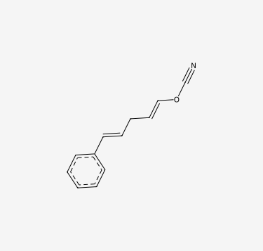 N#COC=CCC=Cc1ccccc1